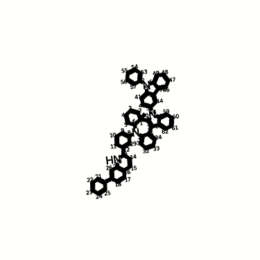 CC12C=CC=CC1N(c1cccc(C3C=Cc4ccc(-c5ccccc5)cc4N3)c1)c1ccccc1-c1c2n(-c2ccc3c(c2)c2ccccc2n3-c2ccccc2)c2ccccc12